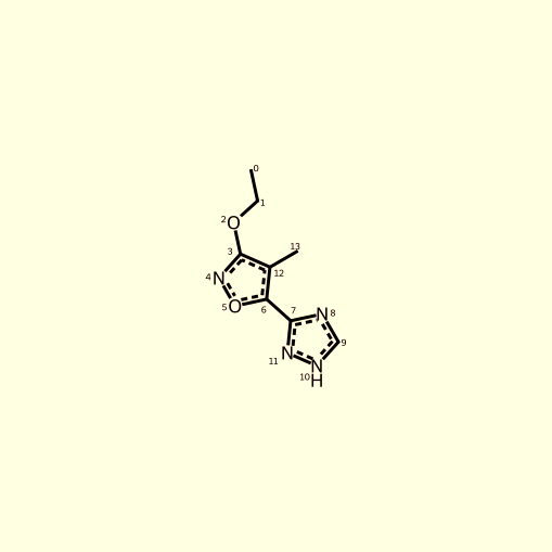 CCOc1noc(-c2nc[nH]n2)c1C